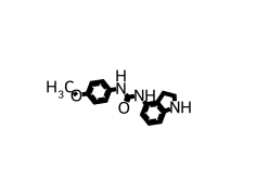 COc1ccc(NC(=O)Nc2cccc3c2CCN3)cc1